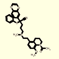 COc1ccc(CCN(C)CCCC(C#N)(Sc2ccccc2)c2ccc3c(c2)OC=CO3)c2c1N(C(C)=O)CCC2